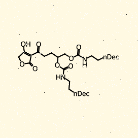 CCCCCCCCCCCCNC(=O)OCC(CCC(=O)C1=C(O)COC1=O)OC(=O)NCCCCCCCCCCCC